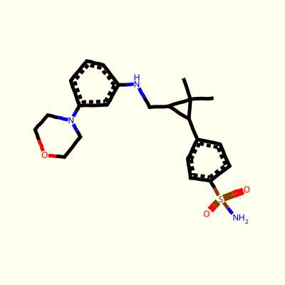 CC1(C)C(CNc2cccc(N3CCOCC3)c2)C1c1ccc(S(N)(=O)=O)cc1